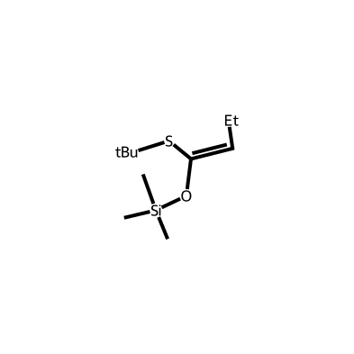 CCC=C(O[Si](C)(C)C)SC(C)(C)C